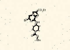 CCOC(=O)c1cn2cc(Br)nc(NC3CCN(C(=O)OC(C)(C)C)CC3)c2n1